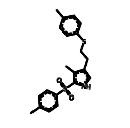 Cc1ccc(SCCc2c[nH]c(S(=O)(=O)c3ccc(C)cc3)c2C)cc1